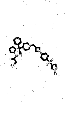 C=CC(=O)N[C@@H]1CCC[C@H]1C(C#N)(c1ccccc1)C1CCN(CC2CN(c3ccc(S(=O)(=O)c4cnn(C)c4)cc3)C2)CC1